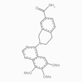 COc1cc2c(N3CCc4ccc(C(N)=O)cc4C3)ncnc2c(OC)c1OC